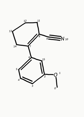 COc1cccc(C2=C(C#N)CCCC2)c1